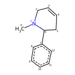 CN1CC=CCC1c1ccccc1